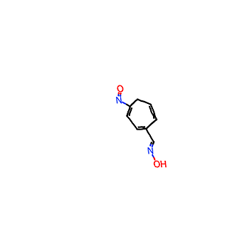 O=NC1=CC=C(/C=N/O)C=CC1